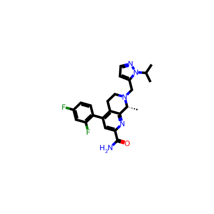 CC(C)n1nccc1CN1CCc2c(-c3ccc(F)cc3F)cc(C(N)=O)nc2[C@H]1C